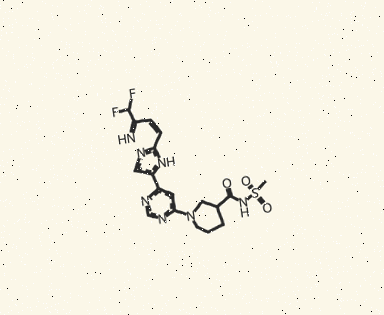 CS(=O)(=O)NC(=O)C1CCCN(c2cc(-c3cnc(/C=C\C(=N)C(F)F)[nH]3)ncn2)C1